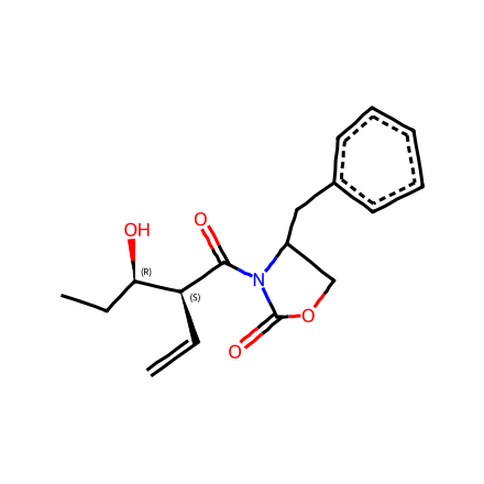 C=C[C@H](C(=O)N1C(=O)OCC1Cc1ccccc1)[C@H](O)CC